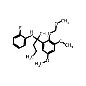 CCCC(C)(Pc1ccccc1F)c1cc(OC)cc(OC)c1OCOC